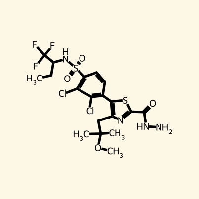 CCC(NS(=O)(=O)c1ccc(-c2sc(C(=O)NN)nc2CC(C)(C)OC)c(Cl)c1Cl)C(F)(F)F